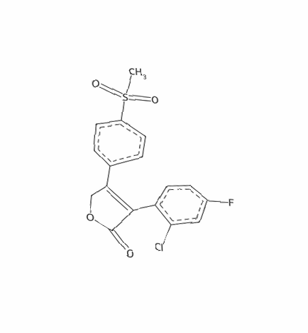 CS(=O)(=O)c1ccc(C2=C(c3ccc(F)cc3Cl)C(=O)OC2)cc1